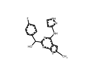 Cc1cc2c(Nc3cc[nH]n3)nc(C(O)c3ccc(F)cc3)nc2s1